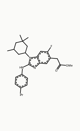 COC(=O)Cc1cc2nc(Nc3ccc(C(C)C)cc3)n(C3CC(C)CC(C)(C)C3)c2cc1F